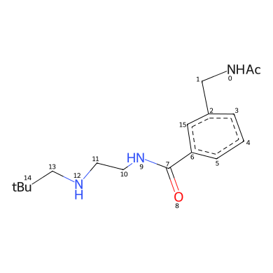 CC(=O)NCc1cccc(C(=O)NCCNCC(C)(C)C)c1